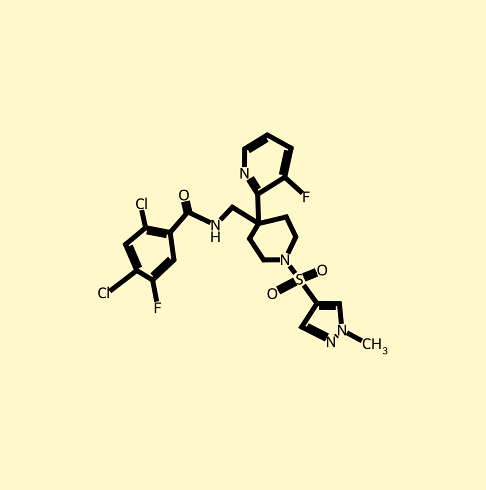 Cn1cc(S(=O)(=O)N2CCC(CNC(=O)c3cc(F)c(Cl)cc3Cl)(c3ncccc3F)CC2)cn1